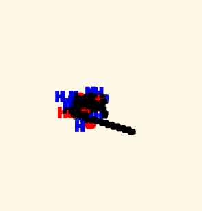 CCCCCCCCCCCCCCCC(=O)NCC(=O)N[C@@H](CO)C(=O)N[C@@H](CC(N)=O)[C@H](O)N[C@@H](CC(N)=O)[C@H](O)N[C@H](C(=O)N[C@@H](CCCC)C(C)=O)C(C)O